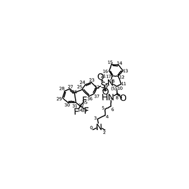 CN(C)CCCCNC(=O)[C@@H]1Cc2ccccc2N1S(=O)(=O)c1ccc(-c2ccccc2C(F)(F)F)cc1